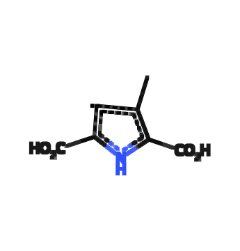 Cc1[c]c(C(=O)O)[nH]c1C(=O)O